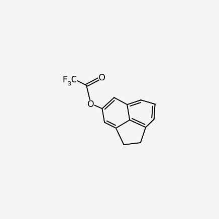 O=C(Oc1cc2c3c(cccc3c1)CC2)C(F)(F)F